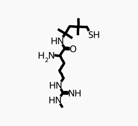 CNC(=N)NCCCC(N)C(=O)NC(C)(C)CC(C)(C)CS